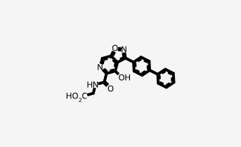 O=C(O)CNC(=O)c1ncc2onc(-c3ccc(-c4ccccc4)cc3)c2c1O